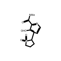 CNC(=O)c1nccc(C2CCCS2(=O)=O)c1C=O